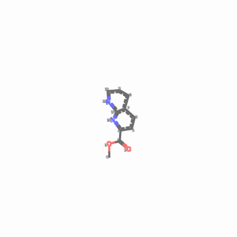 COC(=O)c1ccc2cccnc2n1